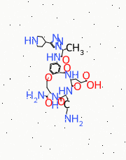 C[C@@H](C(=O)Nc1ccc2c(c1)C(=O)NC(CCC(=O)O)C(=O)N[C@@H](CCCCN)C(=O)N[C@H](C(N)=O)CCO2)n1cc(C2CCNCC2)nn1